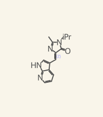 CC1=N/C(=C\c2c[nH]c3ncccc23)C(=O)N1C(C)C